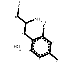 Cc1ccc(CC(N)CCl)c(Cl)c1.Cl